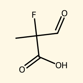 CC(F)(C=O)C(=O)O